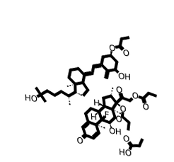 C=C1/C(=C\C=C2CCC[C@@]3(C)C2CC[C@@H]3[C@H](C)CCCC(C)(C)O)C[C@@H](OC(=O)CC)CC1O.CCC(=O)O.CCC(=O)OCC(=O)[C@@]1(OC(=O)CC)[C@@H](C)C[C@H]2[C@@H]3CCC4=CC(=O)C=C[C@]4(C)C3(F)[C@@H](O)C[C@@]21C